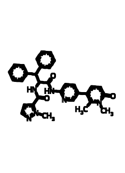 Cc1c(-c2ccc(NC(=O)C(NC(=O)c3ccnn3C)C(c3ccccc3)c3ccccc3)nc2)ccc(=O)n1C